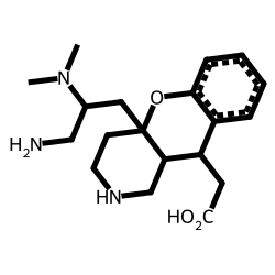 CN(C)C(CN)CC12CCNCC1C(CC(=O)O)c1ccccc1O2